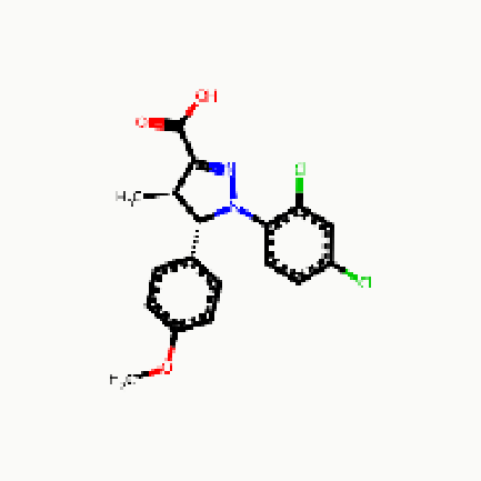 COc1ccc([C@@H]2[C@@H](C)C(C(=O)O)=NN2c2ccc(Cl)cc2Cl)cc1